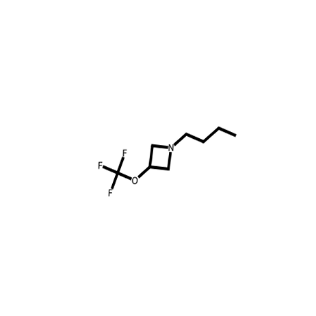 CCCCN1CC(OC(F)(F)F)C1